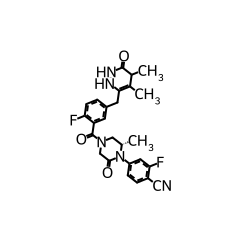 CC1=C(Cc2ccc(F)c(C(=O)N3CC(=O)N(c4ccc(C#N)c(F)c4)[C@@H](C)C3)c2)NNC(=O)C1C